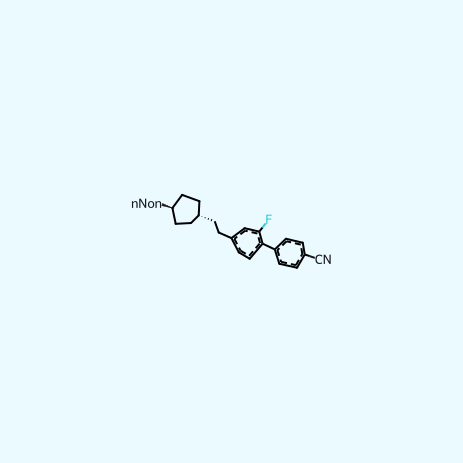 CCCCCCCCC[C@H]1CC[C@H](CCc2ccc(-c3ccc(C#N)cc3)c(F)c2)CC1